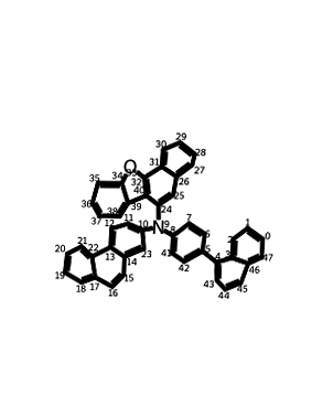 c1ccc2c(-c3ccc(N(c4ccc5c(ccc6ccccc65)c4)c4cc5ccccc5c5oc6ccccc6c45)cc3)cccc2c1